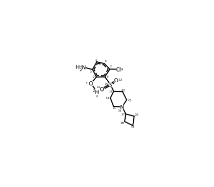 [2H]Oc1c(N)ccc(Cl)c1S(=O)(=O)C1CCN(C2CCC2)CC1